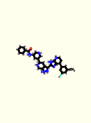 Cc1cc(F)cc(-c2ccnc3[nH]c(-c4n[nH]c5cnc(-c6cncc(NC(=O)c7ccccc7)c6)cc45)nc23)c1